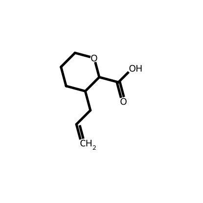 C=CCC1CCCOC1C(=O)O